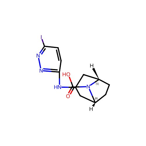 O=C(O)N1[C@@H]2CC[C@H]1CC(Nc1ccc(I)nn1)C2